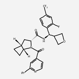 CC(C)c1cc(C(=O)N2[C@@H](C(=O)N[C@@H](c3ccc(C(F)(F)F)cc3F)C3COC3)C[C@H]3CC[C@H]32)ccn1